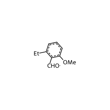 CCc1cccc(OC)c1[C]=O